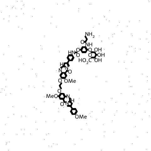 COc1ccc(C2=CN3C(=O)c4cc(OC)c(OCCCOc5cc6c(cc5OC)C(=O)N5C=C(c7ccc(NC(=O)Oc8ccc(O[C@@H]9OC(C(=O)O)[C@@H](O)C(O)C9O)c(NC(=O)CCN)c8)cc7)C[C@H]5C=N6)cc4N=C[C@@H]3C2)cc1